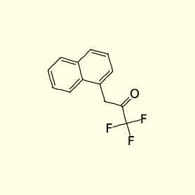 O=C(Cc1cccc2ccccc12)C(F)(F)F